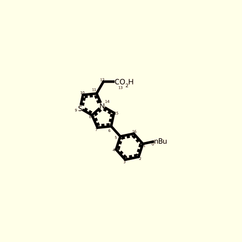 CCCCc1cccc(-c2cc3scc(CC(=O)O)n3c2)c1